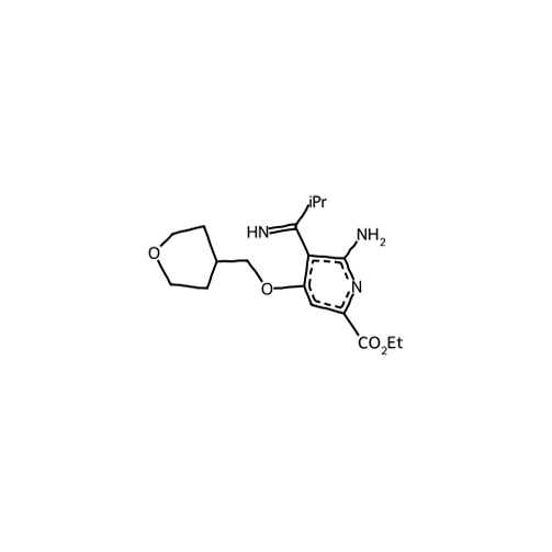 CCOC(=O)c1cc(OCC2CCOCC2)c(C(=N)C(C)C)c(N)n1